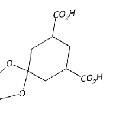 O=C(O)C1CC(C(=O)O)CC2(C1)OCCO2